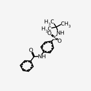 CC(C)(C)NS(=O)(=O)c1ccc(NC(=O)c2ccccc2)cc1